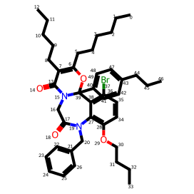 CCCCCCC1=C(CCCCC)C(=O)N2CC(=O)N(Cc3ccccc3)c3c(OCCCC)ccc(Br)c3C2(c2ccc(CCC)cc2)O1